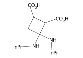 CCCNC1(NCCC)CC(C(=O)O)C1C(=O)O